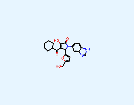 O=C(C1=C(O)C(=O)N(c2ccc3[nH]cnc3c2)C1c1ccc(CO)o1)C1CCCCC1